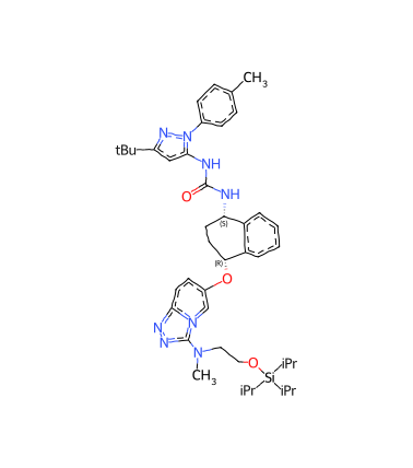 Cc1ccc(-n2nc(C(C)(C)C)cc2NC(=O)N[C@H]2CC[C@@H](Oc3ccc4nnc(N(C)CCO[Si](C(C)C)(C(C)C)C(C)C)n4c3)c3ccccc32)cc1